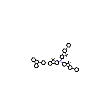 CC1(C)c2cc(-c3ccccc3)ccc2-c2ccc(N(c3ccc4c(c3)C(C)(C)c3cc(-c5ccccc5)ccc3-4)c3ccc4c(c3)C(C)(C)c3cc(-c5ccc(-c6cc7ccccc7c7ccccc67)cc5)ccc3-4)cc21